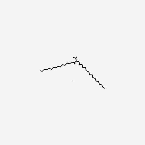 CCCCCCCCCCCCCCCC(=O)CC(C(=O)CCCCCCCCCCCCCCC)C(C)C.N